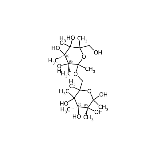 CC1(COC2(C)OC(C)(CO)C(C)(O)[C@](C)(O)[C@@]2(C)O)OC(C)(O)[C@](C)(O)[C@@](C)(O)C1(C)O